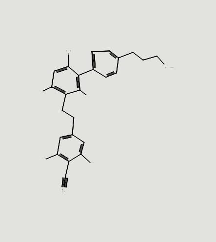 CCCCc1ccc(-c2c([O])cc(F)c(CCc3cc(F)c(C#N)c(F)c3)c2F)cc1